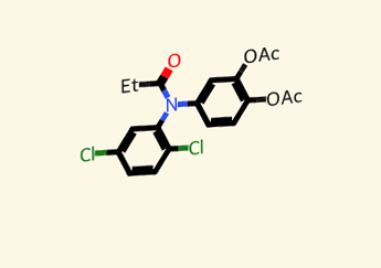 CCC(=O)N(c1ccc(OC(C)=O)c(OC(C)=O)c1)c1cc(Cl)ccc1Cl